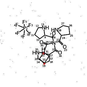 F[P-](F)(F)(F)(F)F.O=C(C1CCCN1)[N+](C(=O)C1CCCN1)(C(=O)C1CCCN1)C(=O)C1CCCN1